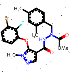 COC(=O)N(Cc1ccc(C)cc1C)NC(=O)c1cnn(C)c1Oc1cccc(Br)c1F